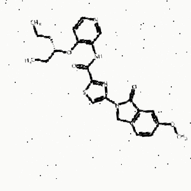 CCC[C@@H](CC)Oc1ccncc1NC(=O)c1nc(N2Cc3ccc(OC)cc3C2=O)cs1